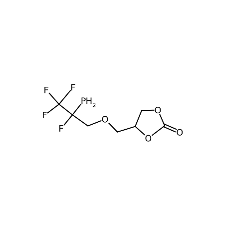 O=C1OCC(COCC(F)(P)C(F)(F)F)O1